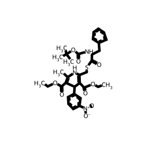 CCOC(=O)C1=C(C)NC(CSC(=O)C(Cc2ccccc2)NC(=O)OC(C)(C)C)=C(C(=O)OCC)C1c1cccc([N+](=O)[O-])c1